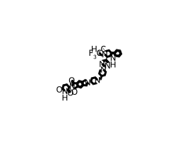 C[C@@H]1Cc2c([nH]c3ccccc23)[C@@H](c2cnc(N3CCC(CN4CCC(N5Cc6cc7c(cc6C5)C(=O)N(C5CCC(=O)NC5=O)C7=O)CC4)CC3)nc2)N1CC(F)(F)F